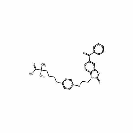 CC(C)(CCCOc1ccc(OCCn2c(=O)sc3cc(C(=O)c4ccccc4)ccc32)cc1)C(=O)O